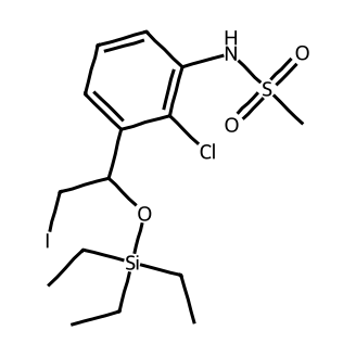 CC[Si](CC)(CC)OC(CI)c1cccc(NS(C)(=O)=O)c1Cl